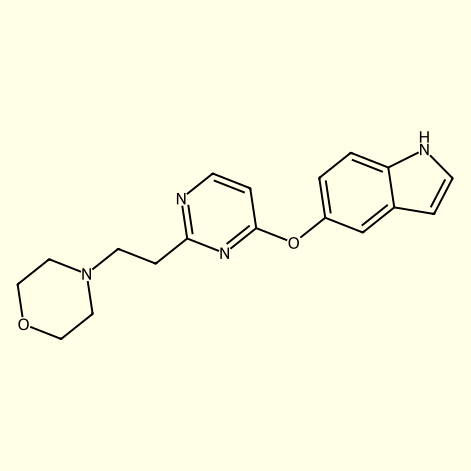 c1cc(Oc2ccc3[nH]ccc3c2)nc(CCN2CCOCC2)n1